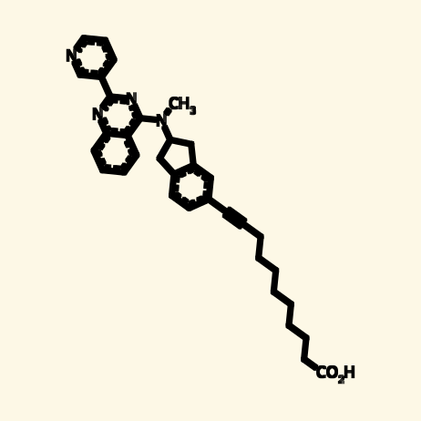 CN(c1nc(-c2cccnc2)nc2ccccc12)C1Cc2ccc(C#CCCCCCCCCC(=O)O)cc2C1